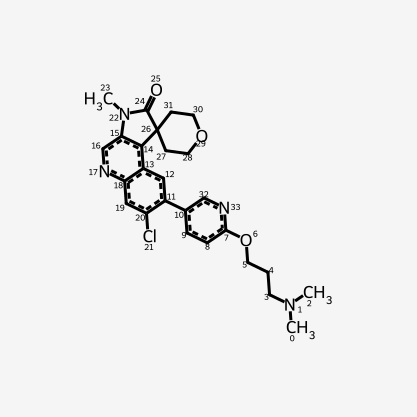 CN(C)CCCOc1ccc(-c2cc3c4c(cnc3cc2Cl)N(C)C(=O)C42CCOCC2)cn1